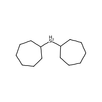 C1CCCC([SiH2]C2CCCCCC2)CC1